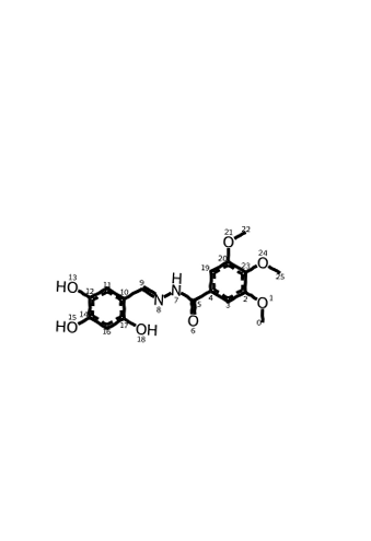 COc1cc(C(=O)NN=Cc2cc(O)c(O)cc2O)cc(OC)c1OC